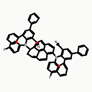 N#Cc1cc(-c2ccccc2)cc(-c2ccccc2)c1N(c1ccc(F)cc1)c1ccc2ccc3c4c(ccc1c24)=CCC3N(c1ccc(F)cc1)c1c(C#N)cc(-c2ccccc2)cc1-c1ccccc1